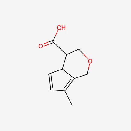 CC1=C2COCC(C(=O)O)C2C=C1